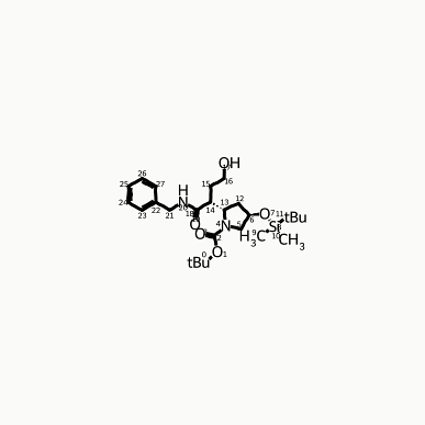 CC(C)(C)OC(=O)N1C[C@H](O[Si](C)(C)C(C)(C)C)C[C@H]1C(CCO)C(=O)NCc1ccccc1